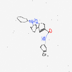 O=C(NCc1ccc(C(F)(F)F)cc1)c1ccc2[nH]c3c(c2c1)CCCC3NC1CCCCC1